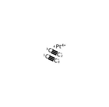 [C-]#[C-].[C-]#[C-].[Pt+4]